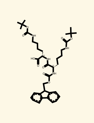 CC(C)(C)OC(=O)NCCCC[C@H](NC(=O)[C@H](CCCCNC(=O)OC(C)(C)C)NC(=O)OCC1c2ccccc2-c2ccccc21)C(=O)O